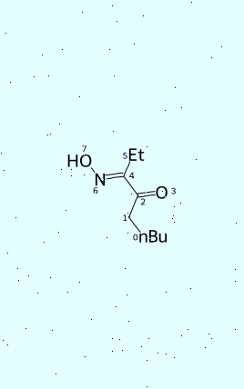 CCCCCC(=O)C(CC)=NO